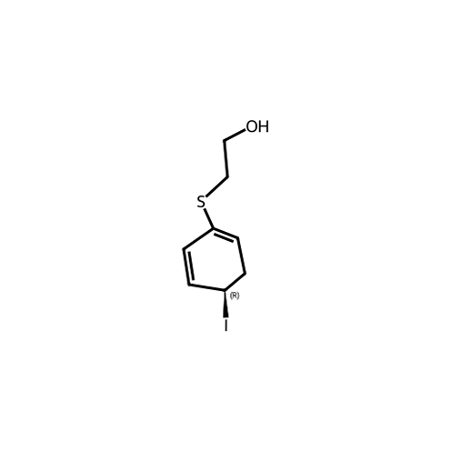 OCCSC1=CC[C@@H](I)C=C1